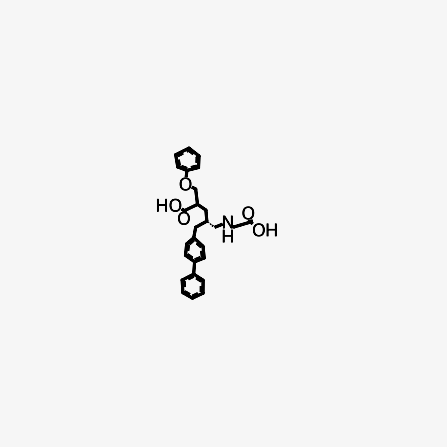 O=C(O)CNC[C@H](Cc1ccc(-c2ccccc2)cc1)CC(COc1ccccc1)C(=O)O